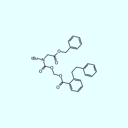 CC(C)(C)N(CC(=O)OCc1ccccc1)C(=O)OCOC(=O)c1ccccc1CCc1ccccc1